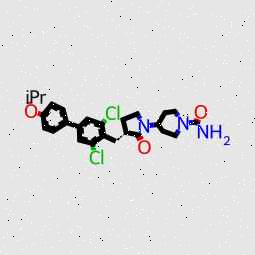 CC(C)Oc1ccc(-c2cc(Cl)c(C[C@@H]3CCN(C4CCN(C(N)=O)CC4)C3=O)c(Cl)c2)cc1